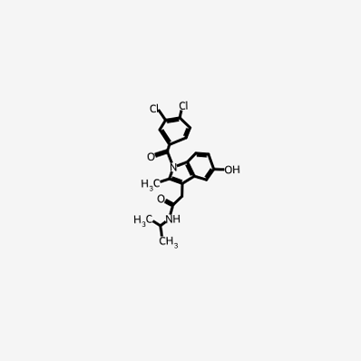 Cc1c(CC(=O)NC(C)C)c2cc(O)ccc2n1C(=O)c1ccc(Cl)c(Cl)c1